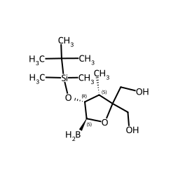 B[C@@H]1OC(CO)(CO)[C@@H](C)[C@H]1O[Si](C)(C)C(C)(C)C